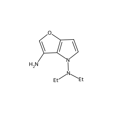 CCN(CC)n1ccc2occ(N)c21